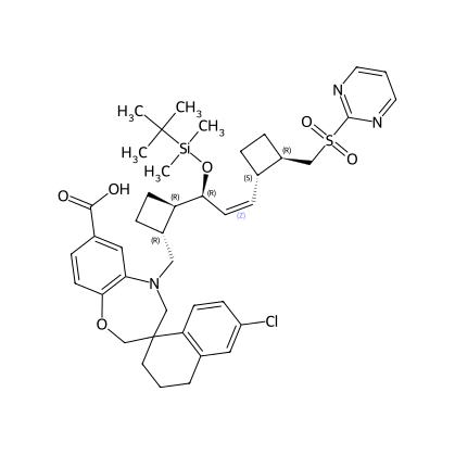 CC(C)(C)[Si](C)(C)O[C@@H](/C=C\[C@@H]1CC[C@H]1CS(=O)(=O)c1ncccn1)[C@@H]1CC[C@H]1CN1CC2(CCCc3cc(Cl)ccc32)COc2ccc(C(=O)O)cc21